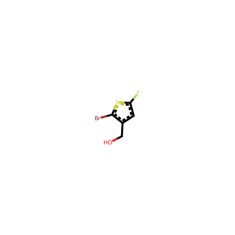 OCc1cc(F)sc1Br